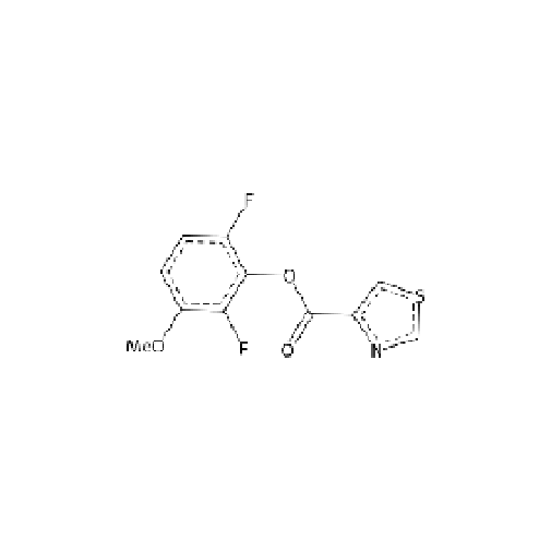 COc1ccc(F)c(OC(=O)c2cscn2)c1F